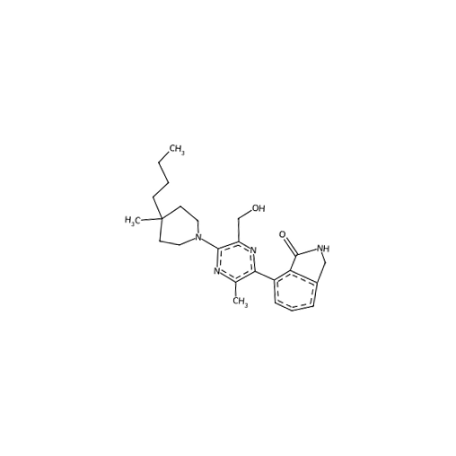 CCCCC1(C)CCN(c2nc(C)c(-c3cccc4c3C(=O)NC4)nc2CO)CC1